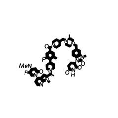 CNc1cc(=O)n(-c2ccnc3c2cc([C@H](C)N2CC=C(c4c(C)cc(C(=O)N5CCC(CN6CCN(Cc7ccc8c(c7)n(C)c(=O)n8[C@H]7CCC(=O)NC7=O)C[C@@H]6C)CC5)cc4F)CC2)n3C)cc1F